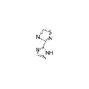 [c]1n[nH]c(-c2ncsn2)n1